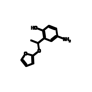 CC(Oc1ccco1)c1cc(N)ccc1O